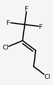 FC(F)(F)/C(Cl)=C/CCl